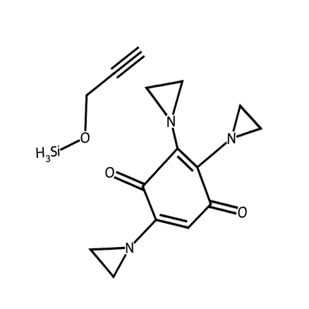 C#CCO[SiH3].O=C1C=C(N2CC2)C(=O)C(N2CC2)=C1N1CC1